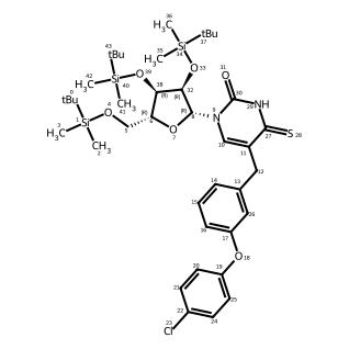 CC(C)(C)[Si](C)(C)OC[C@H]1O[C@@H](n2cc(Cc3cccc(Oc4ccc(Cl)cc4)c3)c(=S)[nH]c2=O)[C@H](O[Si](C)(C)C(C)(C)C)[C@@H]1O[Si](C)(C)C(C)(C)C